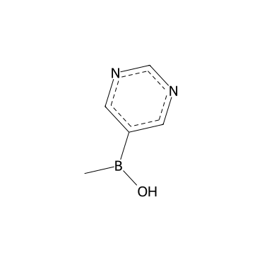 CB(O)c1cncnc1